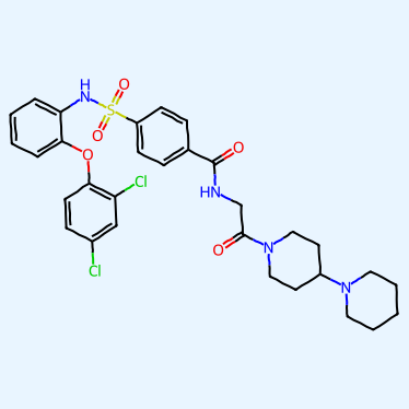 O=C(NCC(=O)N1CCC(N2CCCCC2)CC1)c1ccc(S(=O)(=O)Nc2ccccc2Oc2ccc(Cl)cc2Cl)cc1